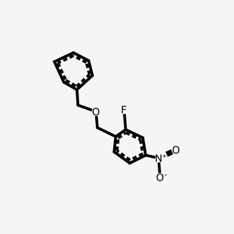 O=[N+]([O-])c1ccc(COCc2ccccc2)c(F)c1